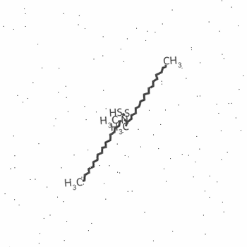 CCCCCCCCCCCCCCCCCCC(C)N(C(=S)S)C(C)CCCCCCCCCCCCCCCCCC